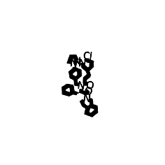 O=C([C@H](Cc1ccccc1)N(Cc1ccc(-n2cccn2)cc1)C(=O)/C=C/c1ccc(Cl)nc1)N1CCc2ccccc2C1